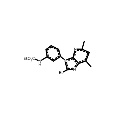 CCOC(=O)Nc1cccc(-n2c(CC)nc3c(C)cc(C)nc32)c1